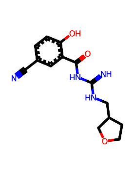 N#Cc1ccc(O)c(C(=O)NC(=N)NCC2CCOC2)c1